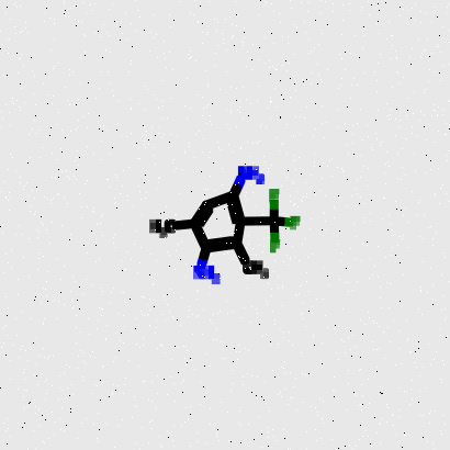 Cc1cc(N)c(C(F)(F)F)c(C)c1N